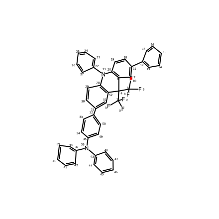 FC(F)(F)C1(C(F)(F)F)c2cc(-c3ccccc3)ccc2N(c2ccccc2)c2ccc(-c3ccc(N(c4ccccc4)c4ccccc4)cc3)cc21